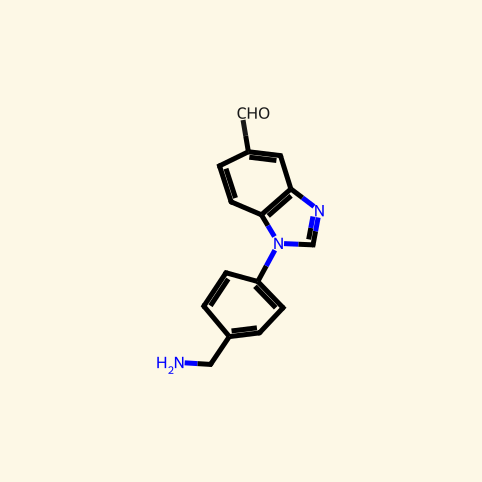 NCc1ccc(-n2cnc3cc(C=O)ccc32)cc1